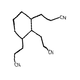 N#CCCC1CCCC(CCC#N)C1CCC#N